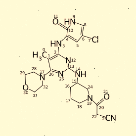 Cc1c(Nc2cc(Cl)c[nH]c2=O)nc(NC2CCCN(C(=O)CC#N)C2)nc1N1CCOCC1